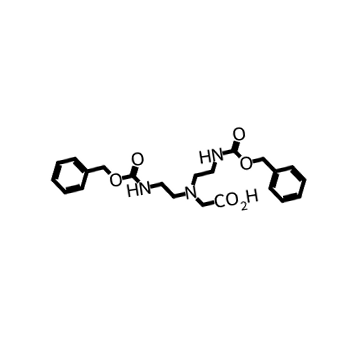 O=C(O)CN(CCNC(=O)OCc1ccccc1)CCNC(=O)OCc1ccccc1